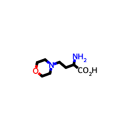 NC(CCN1CCOCC1)C(=O)O